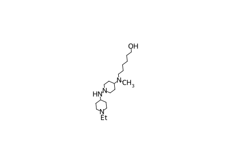 CCN1CCC(NN2CCC(N(C)CCCCCCO)CC2)CC1